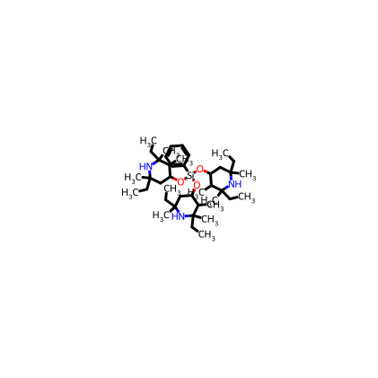 CCC1(C)CC(O[Si](OC2CC(C)(CC)NC(C)(CC)C2C)(OC2CC(C)(CC)NC(C)(CC)C2C)c2ccccc2)C(C)C(C)(CC)N1